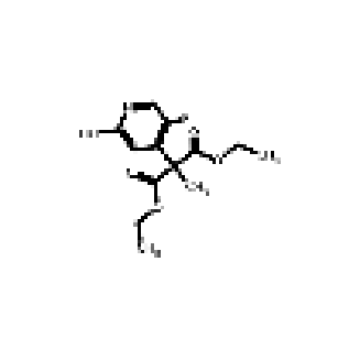 CCOC(=O)C(C)(C(=O)OCC)c1cc(O)ncc1F